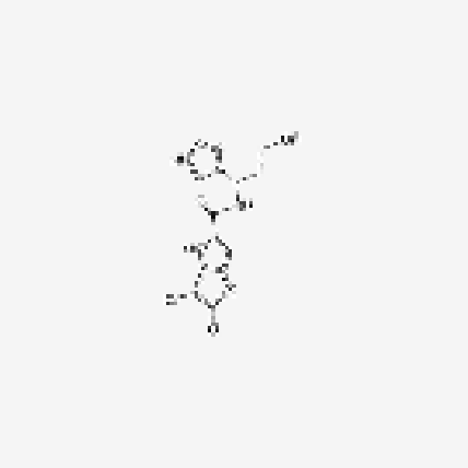 O=C(NC(CCO)c1c[nH]cn1)c1cc2sc(Cl)c(Cl)c2[nH]1